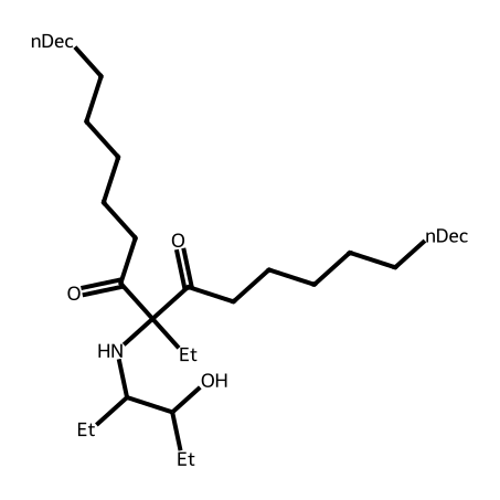 CCCCCCCCCCCCCCCC(=O)C(CC)(NC(CC)C(O)CC)C(=O)CCCCCCCCCCCCCCC